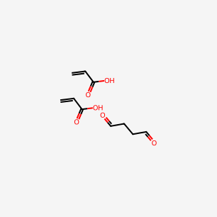 C=CC(=O)O.C=CC(=O)O.O=CCCC=O